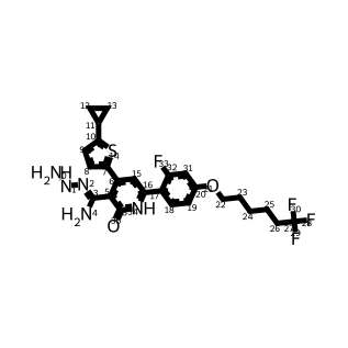 NN/N=C(\N)c1c(-c2ccc(C3CC3)s2)cc(-c2ccc(OCCCCCC(F)(F)F)cc2F)[nH]c1=O